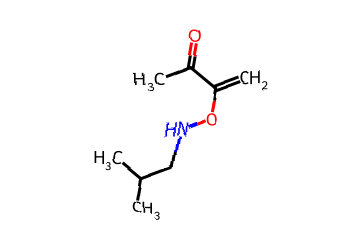 C=C(ONCC(C)C)C(C)=O